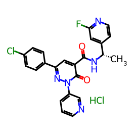 C[C@H](NC(=O)c1cc(-c2ccc(Cl)cc2)nn(-c2cccnc2)c1=O)c1ccnc(F)c1.Cl